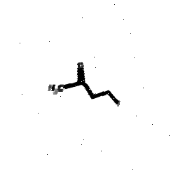 CC(=O)CCI